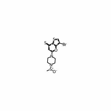 C[S+]([O-])N1CCN(c2cc(=S)c3scc(Br)c3o2)CC1